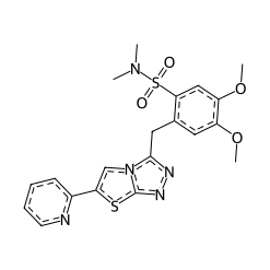 COc1cc(Cc2nnc3sc(-c4ccccn4)cn23)c(S(=O)(=O)N(C)C)cc1OC